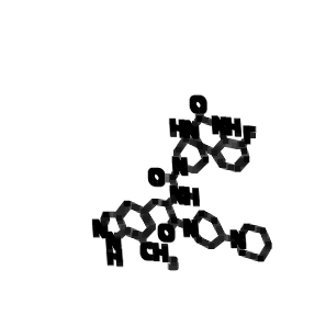 Cc1cc(CC(NC(=O)N2CCC3(CC2)NC(=O)Nc2c(F)cccc23)C(=O)N2CCC(N3CCCCC3)CC2)cc2cn[nH]c12